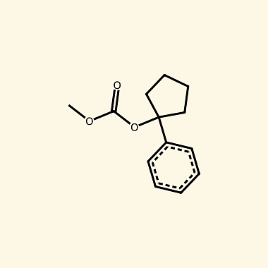 COC(=O)OC1(c2ccccc2)CCCC1